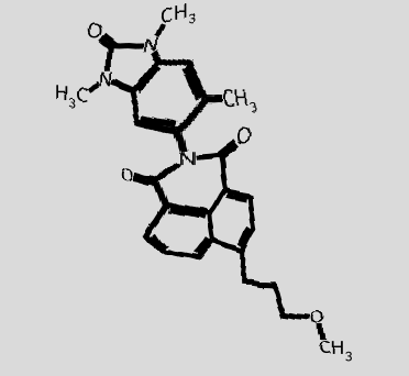 COCCCc1ccc2c3c(cccc13)C(=O)N(c1cc3c(cc1C)n(C)c(=O)n3C)C2=O